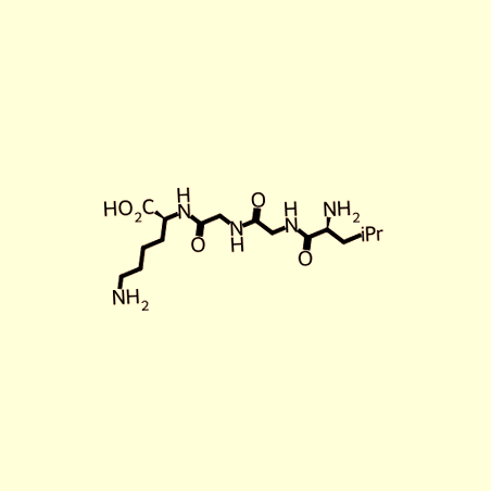 CC(C)C[C@H](N)C(=O)NCC(=O)NCC(=O)N[C@@H](CCCCN)C(=O)O